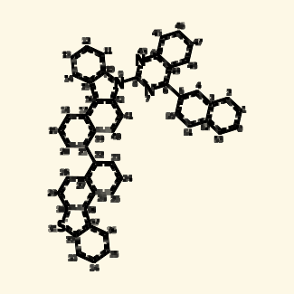 c1ccc2cc(-c3nc(-n4c5ccccc5c5c6cccc(-c7cccc8c7ccc7sc9ccccc9c78)c6ccc54)nc4ccccc34)ccc2c1